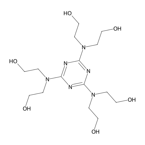 OCCN(CCO)c1nc(N(CCO)CCO)nc(N(CCO)CCO)n1